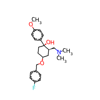 COc1ccc([C@@]2(O)CC[C@H](OCc3ccc(F)cc3)C[C@@H]2CN(C)C)cc1